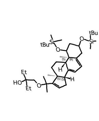 CCC(O)(CC)COC(C)(C)C1=CC[C@H]2C3=CC=C4CC(O[Si](C)(C)C(C)(C)C)CC(O[Si](C)(C)C(C)(C)C)[C@]4(C)[C@H]3CC[C@]12C